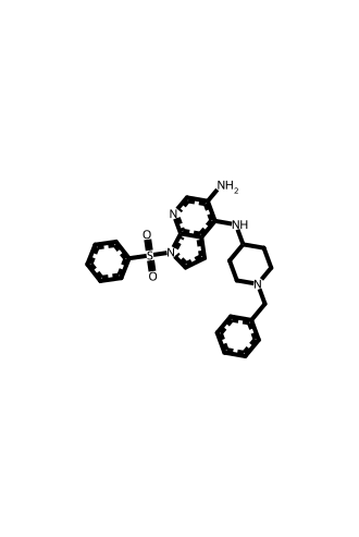 Nc1cnc2c(ccn2S(=O)(=O)c2ccccc2)c1NC1CCN(Cc2ccccc2)CC1